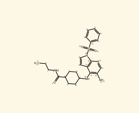 CCCNC(=O)C1CCC(Nc2c(N)cnc3c2ccn3S(=O)(=O)c2ccccc2)CC1